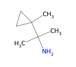 CC(C)(N)C1(C)CC1